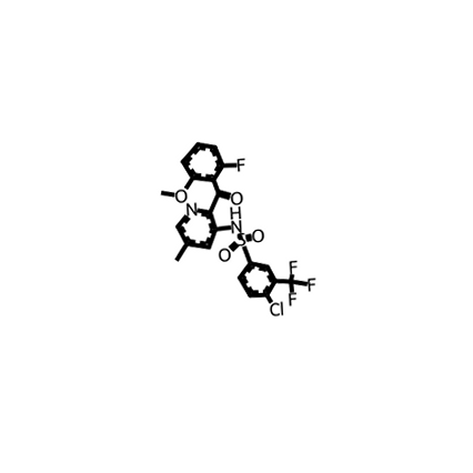 COc1cccc(F)c1C(=O)c1ncc(C)cc1NS(=O)(=O)c1ccc(Cl)c(C(F)(F)F)c1